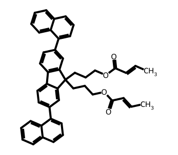 CC=CC(=O)OCCCC1(CCCOC(=O)C=CC)c2cc(-c3cccc4ccccc34)ccc2-c2ccc(-c3cccc4ccccc34)cc21